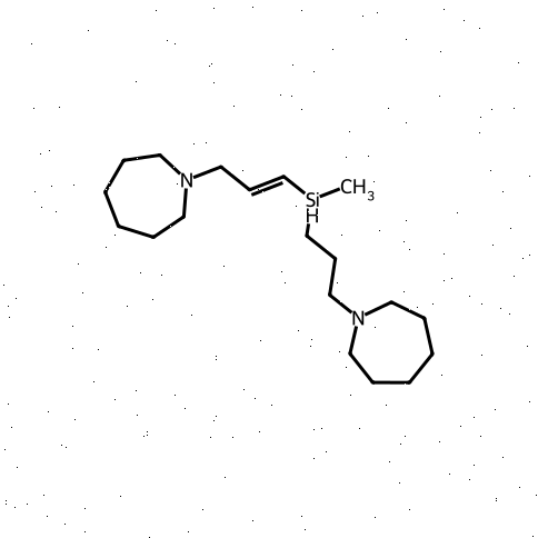 C[SiH](C=CCN1CCCCCC1)CCCN1CCCCCC1